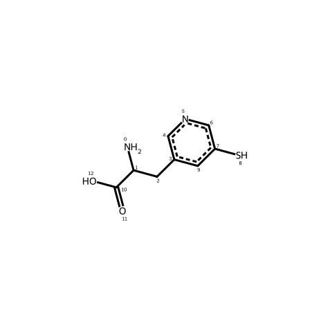 NC(Cc1cncc(S)c1)C(=O)O